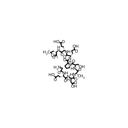 CC(C)C[C@@H](C=O)NC(=O)[C@H](CCC(=O)O)NC(=O)[C@H](CCC(=O)O)NC(=O)C1CCCN1C(=O)C(CO)NC(=O)[C@H](C)NC(=O)C(CC(=O)O)NC(=O)[C@H](CCC(=O)O)NC(=O)CN